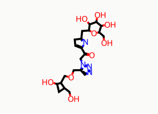 O=C(Cn1nncc1COCC1C(O)CC1CO)C1=CCC(CC2OC(CO)C(O)C(O)C2O)=N1